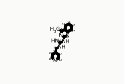 Cc1nc(NC(=N)NCc2ccncc2)nc2ccccc12